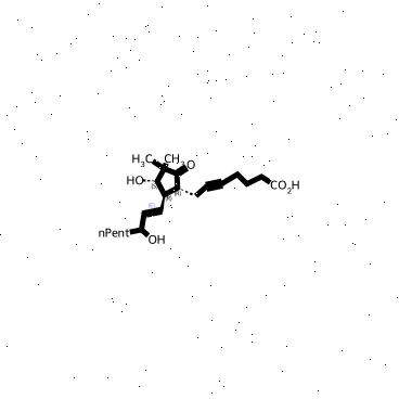 CCCCCC(O)/C=C/[C@@H]1[C@@H](CC#CCCCC(=O)O)C(=O)C(C)(C)[C@H]1O